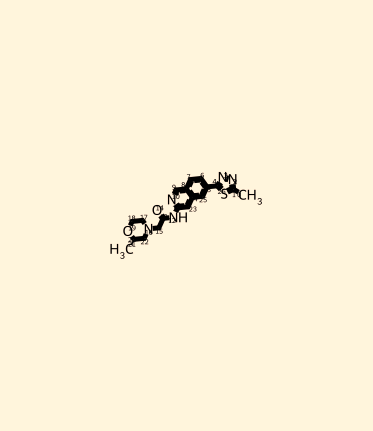 Cc1nnc(-c2ccc3cnc(NC(=O)CN4CCO[C@@H](C)C4)cc3c2)s1